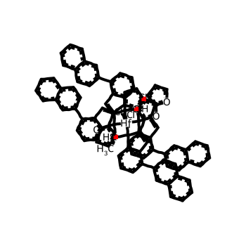 C[SiH]1[C]2(C(c3ccco3)=Cc3c(-c4ccc5ccccc5c4)cccc32)[Hf]2([Cl])([Cl])([C]13C(c1ccco1)=Cc1c(-c4ccc5ccccc5c4)cccc13)[C]1(C(c3ccco3)=Cc3c(-c4ccc5ccccc5c4)cccc31)[SiH](C)[C]21C(c2ccco2)=Cc2c(-c3ccc4ccccc4c3)cccc21